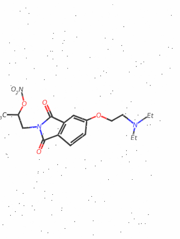 CCN(CC)CCOc1ccc2c(c1)C(=O)N(CC(C)O[N+](=O)[O-])C2=O